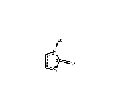 CCn1ccoc1=O